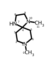 CN1CCC2(CC1)NCCN2C